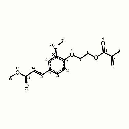 C=C(C)C(=O)OCCOc1ccc(C=CC(=O)OC)cc1OC